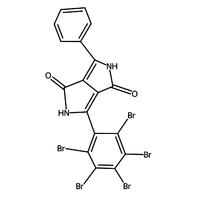 O=C1NC(c2c(Br)c(Br)c(Br)c(Br)c2Br)=C2C(=O)NC(c3ccccc3)=C12